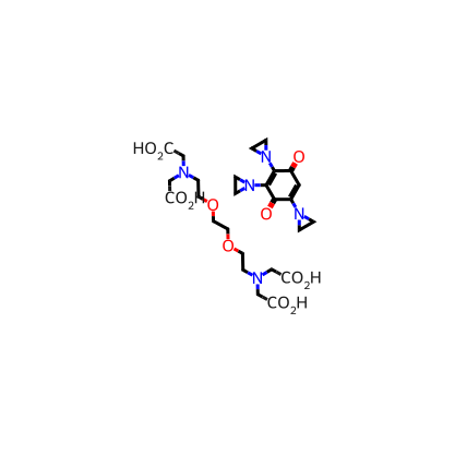 O=C(O)CN(CCOCCOCCN(CC(=O)O)CC(=O)O)CC(=O)O.O=C1C=C(N2CC2)C(=O)C(N2CC2)=C1N1CC1